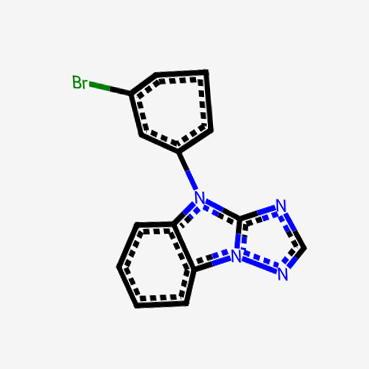 Brc1cccc(-n2c3ccccc3n3ncnc23)c1